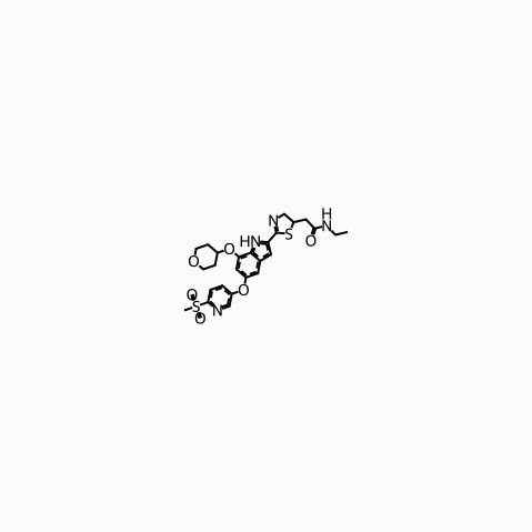 CCNC(=O)CC1CN=C(c2cc3cc(Oc4ccc(S(C)(=O)=O)nc4)cc(OC4CCOCC4)c3[nH]2)S1